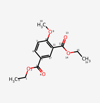 CCOC(=O)c1ccc(OC)c(C(=O)OCC)c1